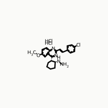 COc1ccc2nc(C=Cc3ccc(Cl)cc3)nc([C@H]3CCCC[C@H]3NN)c2c1.Cl.Cl